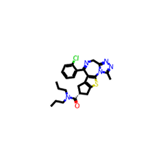 CCCN(CCC)C(=O)[C@H]1Cc2sc3c(c2C1)C(c1ccccc1Cl)=NCc1nnc(C)n1-3